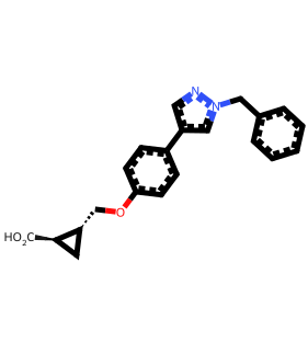 O=C(O)[C@@H]1C[C@H]1COc1ccc(-c2cnn(Cc3ccccc3)c2)cc1